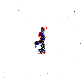 CC(C)c1ccccc1[C@H]1COCCN1C1CCC2(CC1)CCN(c1ccc(C(=O)NS(=O)(=O)c3cnc(NC[C@H]4CC[C@](C)(O)CC4)c([N+](=O)[O-])c3)c(Oc3cnc4[nH]ccc4c3)c1)CC2